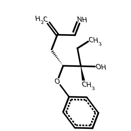 C=C(C=N)C[C@@H](Oc1ccccc1)[C@@](C)(O)CC